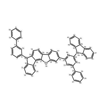 c1ccc(-c2cccc(-n3c4ccccc4c4c5oc6cc(-c7nc(-c8ccccc8)nc(-n8c9ccccc9c9ccccc98)n7)ccc6c5ccc43)c2)cc1